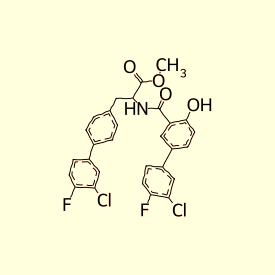 COC(=O)C(Cc1ccc(-c2ccc(F)c(Cl)c2)cc1)NC(=O)c1cc(-c2ccc(F)c(Cl)c2)ccc1O